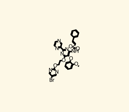 COc1ccccc1Oc1c(NS(=O)(=O)C=Cc2ccccc2)nc(-c2cnccn2)nc1OCCOc1ncc(Br)cn1